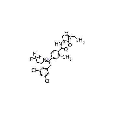 CCN1OC[C@@H](NC(=O)c2ccc(/C(Cc3cc(Cl)cc(Cl)c3)=N/CCC(F)(F)F)cc2C)C1=O